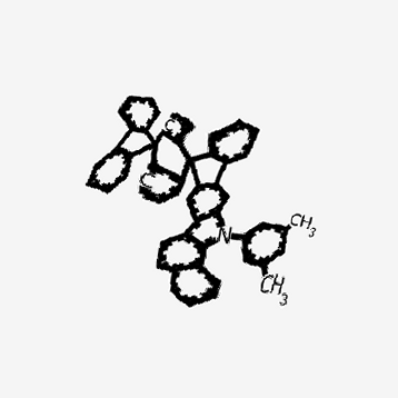 Cc1cc(C)cc(-n2c3cc4c(cc3c3ccc5ccccc5c32)C2(c3ccccc3-4)c3ccccc3C3(c4ccccc4-c4ccccc43)c3ccccc32)c1